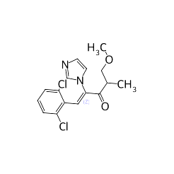 COCC(C)C(=O)/C(=C/c1c(Cl)cccc1Cl)n1ccnc1